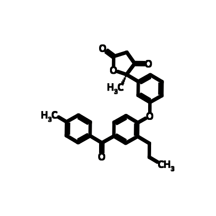 CCCc1cc(C(=O)c2ccc(C)cc2)ccc1Oc1cccc([C@@]2(C)OC(=O)CC2=O)c1